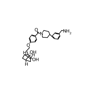 CC1(C)[C@@H]2C[C@@H](O)[C@](O)(CCOc3ccc(C(=O)N4CCC(c5cccc(CN)c5)CC4)cc3)[C@H]1C2